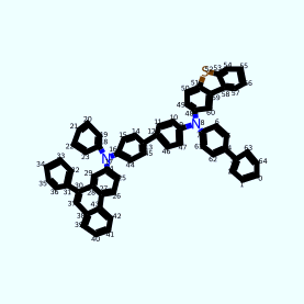 c1ccc(-c2ccc(N(c3ccc(-c4ccc(N(c5ccccc5)c5ccc6c(c5)c(-c5ccccc5)cc5ccccc56)cc4)cc3)c3ccc4sc5ccccc5c4c3)cc2)cc1